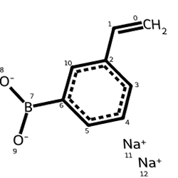 C=Cc1cccc(B([O-])[O-])c1.[Na+].[Na+]